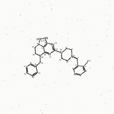 Fc1ccccc1CN1CCN(c2nc3c4c(n2)N(Cc2ccccc2)CCC4NN3)CC1